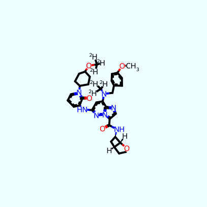 [2H]C([2H])([2H])OC1CCC(n2cccc(Nc3cc(N(Cc4ccc(OC)cc4)C([2H])([2H])[2H])c4ncc(C(=O)N[C@@H]5C[C@H]6CCO[C@H]65)n4n3)c2=O)CC1